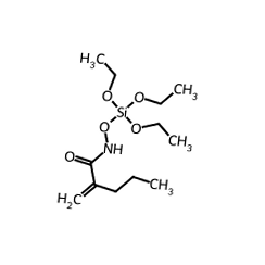 C=C(CCC)C(=O)NO[Si](OCC)(OCC)OCC